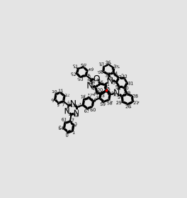 c1ccc(-c2nc(-c3ccccc3)nc(-c3ccc(-c4ccc(-n5c6ccccc6c6ccc7c8ccccc8n(-c8cccc9nc(-c%10ccccc%10)oc89)c7c65)cc4)cc3)n2)cc1